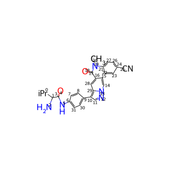 CC(C)C(N)C(=O)Nc1ccc(-c2cnn3ccc(C(=O)N(C)c4ccc(C#N)cc4)cc23)cc1